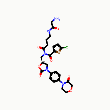 NCC(=O)NCCCC(=O)N(C[C@H]1CN(c2ccc(N3CCOCC3=O)cc2)C(=O)O1)C(=O)c1ccc(Cl)s1